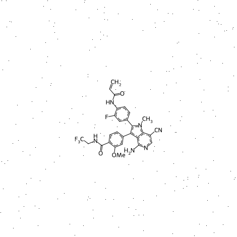 C=CC(=O)Nc1ccc(-c2c(-c3ccc(C(=O)NCC(F)(F)F)c(OC)c3)c3c(N)ncc(C#N)c3n2C)cc1F